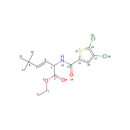 CCOC(=O)C(C=CC(C)(C)C)NC(=O)c1cc(Cl)c(Cl)s1